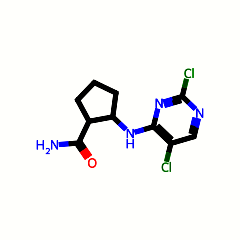 NC(=O)C1CCCC1Nc1nc(Cl)ncc1Cl